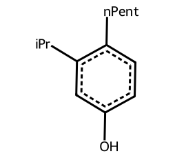 CCCCCc1ccc(O)cc1C(C)C